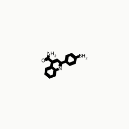 Bc1ccc(-c2cc(C(N)=O)c3ccccc3n2)cc1